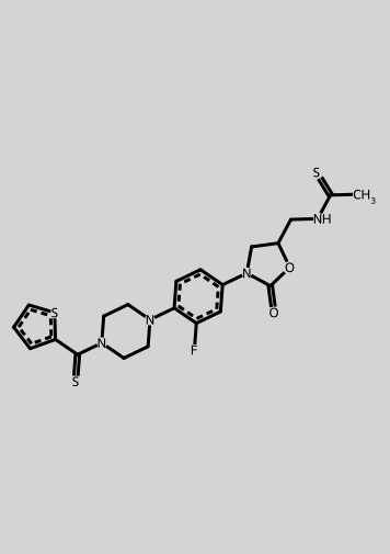 CC(=S)NCC1CN(c2ccc(N3CCN(C(=S)c4cccs4)CC3)c(F)c2)C(=O)O1